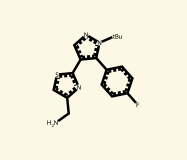 CC(C)(C)n1ncc(-c2nc(CN)cs2)c1-c1ccc(F)cc1